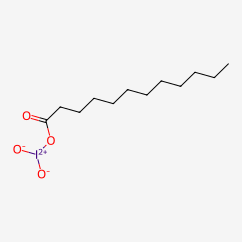 CCCCCCCCCCCC(=O)O[I+2]([O-])[O-]